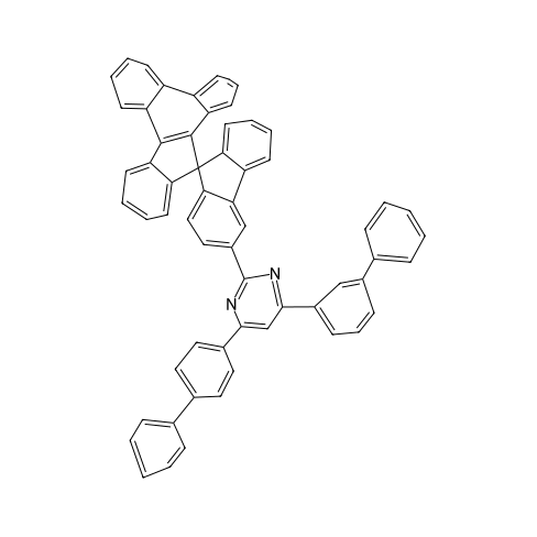 c1ccc(-c2ccc(-c3cc(-c4cccc(-c5ccccc5)c4)nc(-c4ccc5c(c4)-c4ccccc4C54c5ccccc5-c5c4c4ccccc4c4ccccc54)n3)cc2)cc1